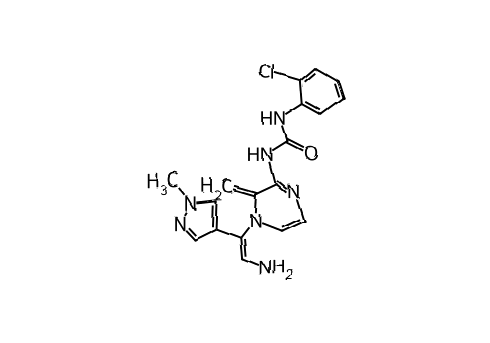 C=C1C(NC(=O)Nc2ccccc2Cl)=NC=CN1/C(=C\N)c1cnn(C)c1